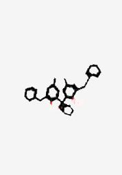 CCC12CCC(C1)CC2(c1cc(C)cc(Cc2ccccc2)c1O)c1cc(C)cc(Cc2ccccc2)c1O